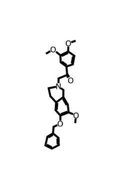 COc1ccc(C(=O)CN2CCc3cc(OCc4ccccc4)c(OC)cc3C2)cc1OC